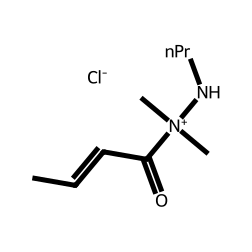 CC=CC(=O)[N+](C)(C)NCCC.[Cl-]